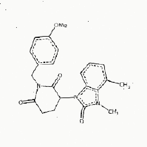 COc1ccc(CN2C(=O)CCC(n3c(=O)n(C)c4c(C)cccc43)C2=O)cc1